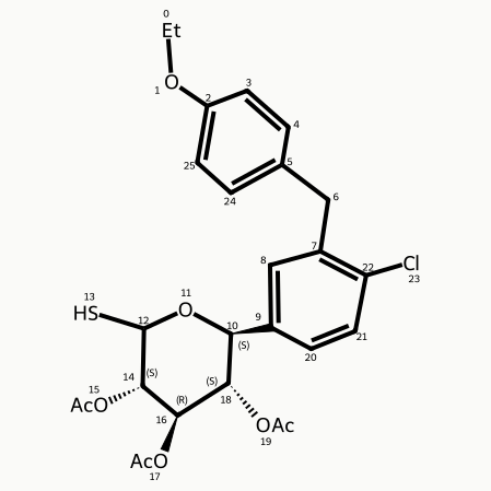 CCOc1ccc(Cc2cc([C@@H]3OC(S)[C@@H](OC(C)=O)[C@H](OC(C)=O)[C@H]3OC(C)=O)ccc2Cl)cc1